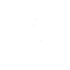 CCCCC(Oc1ccc(OC(F)(F)F)c(C)c1O)C(=O)OC(C)(C)C.O=C(O)c1ccccc1